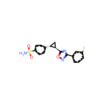 NS(=O)(=O)c1ccc([C@@H]2C[C@H]2c2nc(-c3cccc(F)c3)no2)cc1